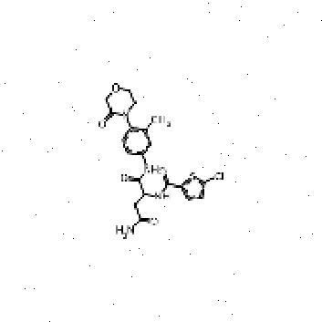 Cc1cc(NC(=O)C(CC(N)=O)NC(=O)c2ccc(Cl)s2)ccc1N1CCOCC1=O